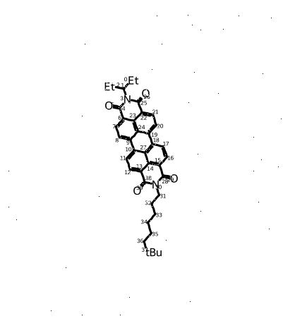 CCC(CC)N1C(=O)c2ccc3c4ccc5c6c(ccc(c7ccc(c2c37)C1=O)c64)C(=O)N(CCCCCCC(C)(C)C)C5=O